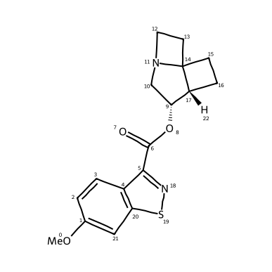 COc1ccc2c(C(=O)O[C@@H]3CN4CCC45CC[C@H]35)nsc2c1